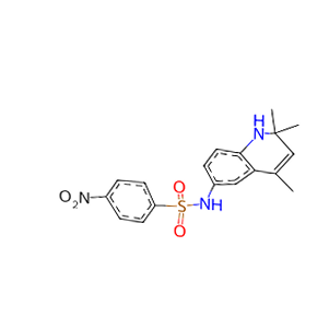 CC1=CC(C)(C)Nc2ccc(NS(=O)(=O)c3ccc([N+](=O)[O-])cc3)cc21